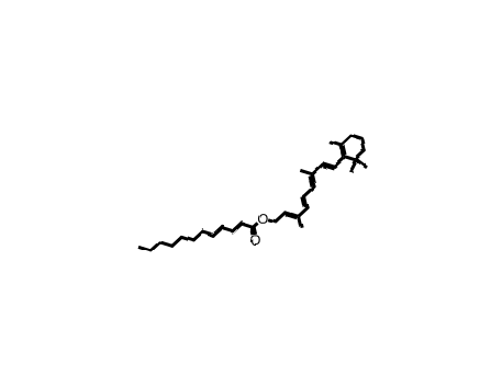 CCCCCCCCCCCC(=O)OCC=C(C)C=CC=C(C)C=CC1=C(C)CCCC1(C)C